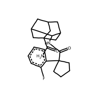 NC(=O)C12CC3CC(C1)C(NC(=O)C1(c4ccccc4F)CCCC1)C(C3)C2